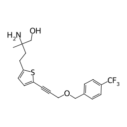 CC(N)(CO)CCc1ccc(C#CCOCc2ccc(C(F)(F)F)cc2)s1